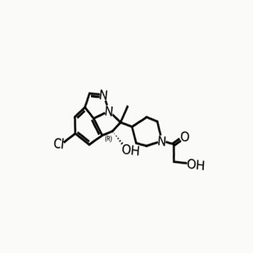 CC1(C2CCN(C(=O)CO)CC2)[C@H](O)c2cc(Cl)cc3cnn1c23